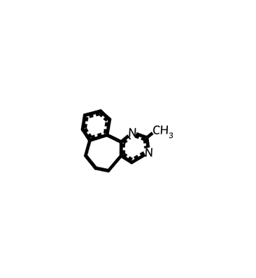 Cc1ncc2c(n1)-c1ccccc1CCC2